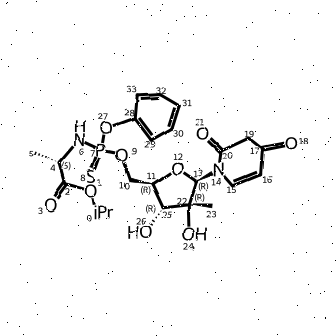 CC(C)OC(=O)[C@H](C)NP(=S)(OC[C@H]1O[C@@H](N2C=CC(=O)CC2=O)[C@](C)(O)[C@@H]1O)Oc1ccccc1